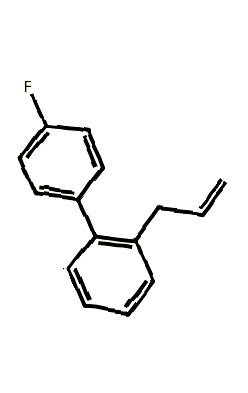 C=CCc1ccc[c]c1-c1ccc(F)cc1